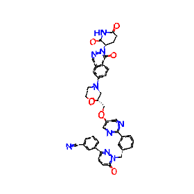 N#Cc1cccc(-c2ccc(=O)n(Cc3cccc(-c4ncc(OC[C@H]5CN(c6ccc7c(=O)n(C8CCC(=O)NC8=O)ncc7c6)CCO5)cn4)c3)n2)c1